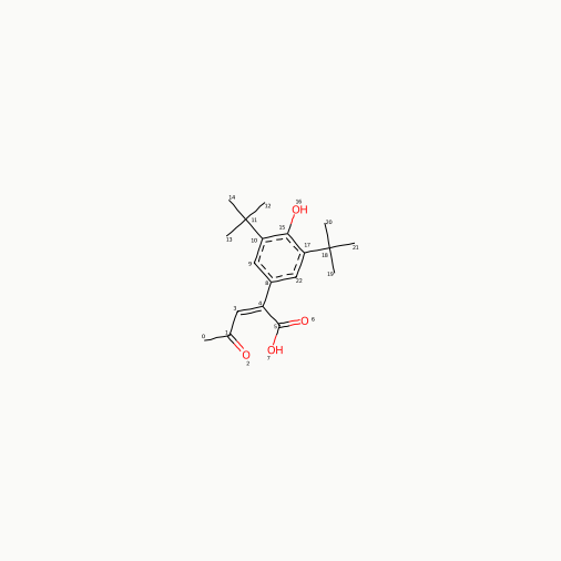 CC(=O)C=C(C(=O)O)c1cc(C(C)(C)C)c(O)c(C(C)(C)C)c1